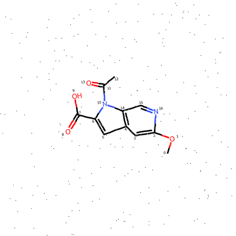 COc1cc2cc(C(=O)O)n(C(C)=O)c2cn1